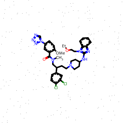 CCOCCn1c(NC2CCN(CCC(CN(C)C(=O)c3cc(-n4cnnn4)ccc3OC)c3ccc(Cl)c(Cl)c3)CC2)nc2ccccc21